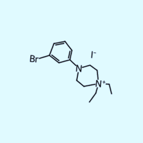 CC[N+]1(CC)CCN(c2cccc(Br)c2)CC1.[I-]